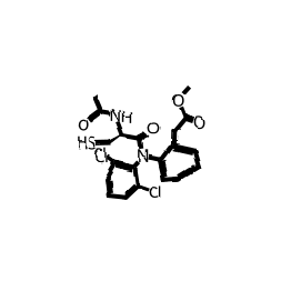 COC(=O)Cc1ccccc1N(C(=O)[C@@H](CS)NC(C)=O)c1c(Cl)cccc1Cl